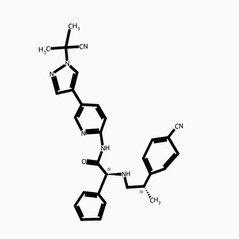 C[C@H](CN[C@H](C(=O)Nc1ccc(-c2cnn(C(C)(C)C#N)c2)cn1)c1ccccc1)c1ccc(C#N)cc1